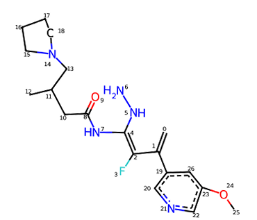 C=C(/C(F)=C(\NN)NC(=O)CC(C)CN1CCCC1)c1cncc(OC)c1